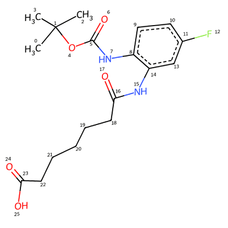 CC(C)(C)OC(=O)Nc1ccc(F)cc1NC(=O)CCCCCC(=O)O